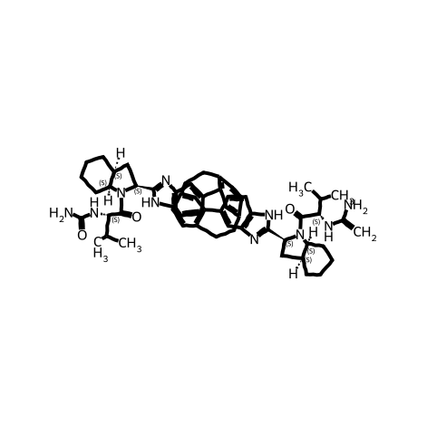 C=C(N)N[C@H](C(=O)N1[C@H](c2nc3cc(-c4cc5ccc4CCc4ccc(c(-c6ccc7[nH]c([C@@H]8C[C@@H]9CCCC[C@@H]9N8C(=O)[C@@H](NC(N)=O)C(C)C)nc7c6)c4)CC5)ccc3[nH]2)C[C@@H]2CCCC[C@@H]21)C(C)C